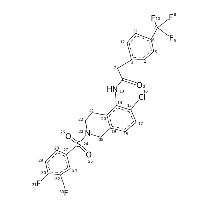 O=C(Cc1ccc(C(F)(F)F)cc1)Nc1c(Cl)ccc2c1CCN(S(=O)(=O)c1ccc(F)c(F)c1)C2